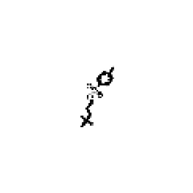 Cc1ccc(S(=O)(=O)OCCCC(C)(C)C)cc1